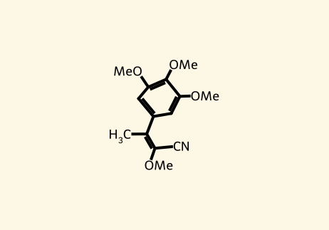 COC(C#N)=C(C)c1cc(OC)c(OC)c(OC)c1